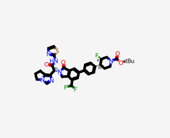 CC(C)(C)OC(=O)N1CC[C@H](c2ccc(-c3cc4c(c(C(F)F)c3)CN([C@@H](C(=O)Nc3nccs3)c3ncn5c3CCC5)C4=O)cc2)[C@@H](F)C1